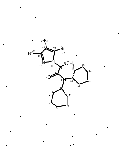 CC(C(=O)N(C1CCCCC1)C1CCCCC1)n1nc(Br)c(Br)c1Br